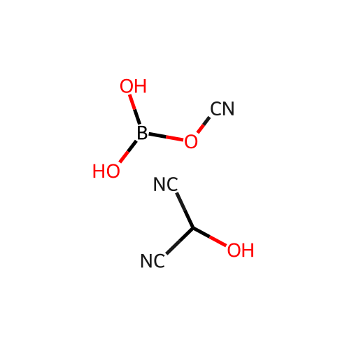 N#CC(O)C#N.N#COB(O)O